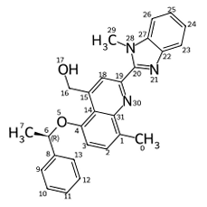 Cc1ccc(O[C@H](C)c2ccccc2)c2c(CO)cc(-c3nc4ccccc4n3C)nc12